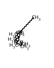 C=C(C)C(C)CCC(C)C1CCC2(C)C3CCC4C(C)(C)C(OC(=O)CCCCCCCCCCCCCCC)CCC45CC35CCC12C